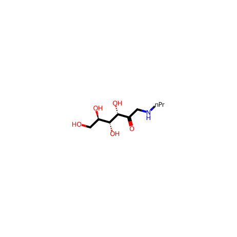 CCCNCC(=O)[C@@H](O)[C@H](O)[C@H](O)CO